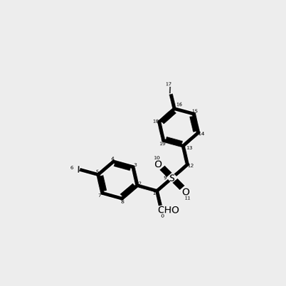 O=CC(c1ccc(I)cc1)S(=O)(=O)Cc1ccc(I)cc1